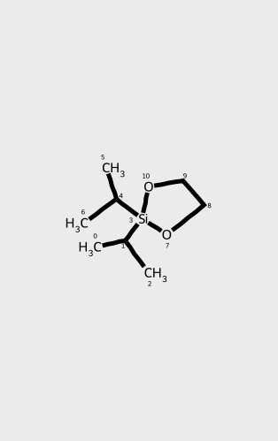 CC(C)[Si]1(C(C)C)OCCO1